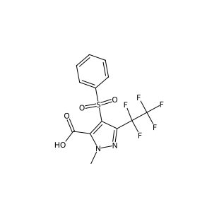 Cn1nc(C(F)(F)C(F)(F)F)c(S(=O)(=O)c2ccccc2)c1C(=O)O